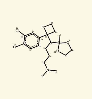 CN(C)CCCC(C1(C)OCCO1)C1(c2ccc(Cl)c(Cl)c2)CCC1